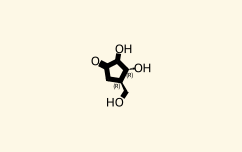 O=C1C[C@H](CO)[C@@H](O)C1O